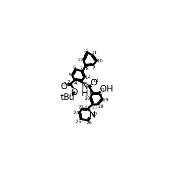 CC(C)(C)OC(=O)c1ccc(-c2ccccc2)cc1NC(=O)c1cc(-c2ccccn2)ccc1O